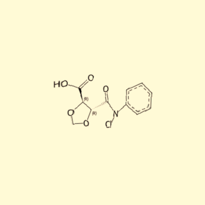 O=C(O)[C@@H]1OCO[C@H]1C(=O)N(Cl)c1ccccc1